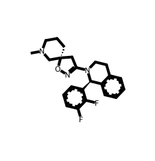 CN1CCC[C@@]2(CC(N3CCc4ccccc4[C@H]3c3cccc(F)c3F)=NO2)C1